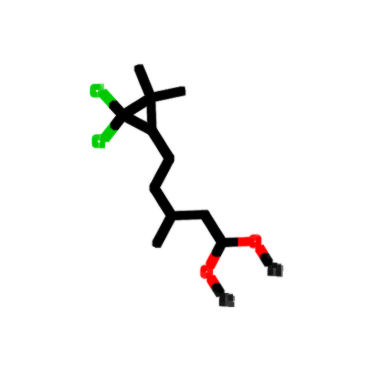 CCOC(CC(C)CCC1C(C)(C)C1(Cl)Cl)OCC